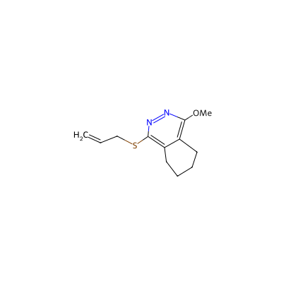 C=CCSc1nnc(OC)c2c1CCCC2